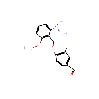 COc1cccc(N(C)N)c1COc1ccc(C=O)cc1C